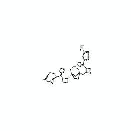 CC1=C/CC/C(C(=O)C2CC[C@H]2C23CCC[C@](CC4CCC4C(=O)c4cccc(F)c4)(CC2)C3)=C/N=C\1